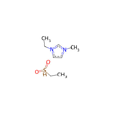 CC[SH](=O)=O.CC[n+]1ccn(C)c1